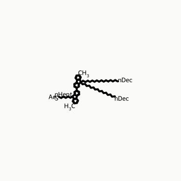 CCCCCCCCCCCCCCCCCCCCCCCCCCC1(CCCCCCCCCCCCCCCCCCCCCCCCCC)c2cc(C)ccc2-c2ccc(-c3ccc4c(c3)C(CCCCCCC)(CCCCCCSC(C)=O)c3cc(C)ccc3-4)cc21